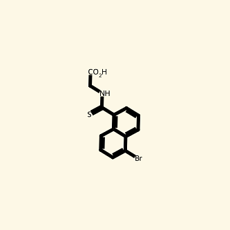 O=C(O)CNC(=S)c1cccc2c(Br)cccc12